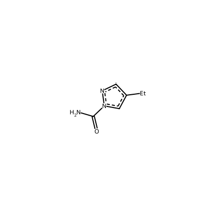 CCc1[c]nn(C(N)=O)c1